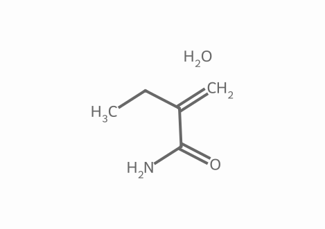 C=C(CC)C(N)=O.O